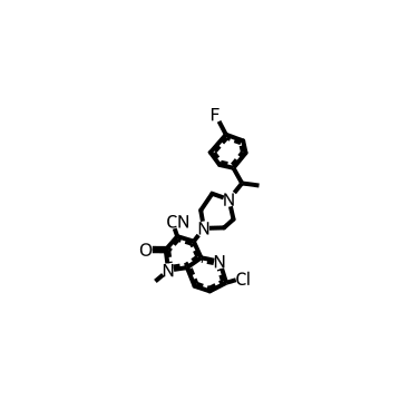 CC(c1ccc(F)cc1)N1CCN(c2c(C#N)c(=O)n(C)c3ccc(Cl)nc23)CC1